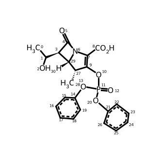 CC(O)[C@H]1C(=O)N2C(C(=O)O)=C(OP(=O)(Oc3ccccc3)Oc3ccccc3)[C@H](C)[C@H]12